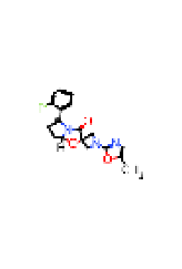 Cc1cnc(N2CC3(C2)O[C@@H]2CC[C@@H](c4ccccc4F)N2C3=O)o1